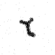 c1ccc(-c2ccc(-c3nc(-c4ccc(-c5ccccc5)cc4)nc(-c4ccc(-c5ccc(-c6ccc7ccc8c9ccccc9ccc8c7n6)cc5)cc4)n3)cc2)cc1